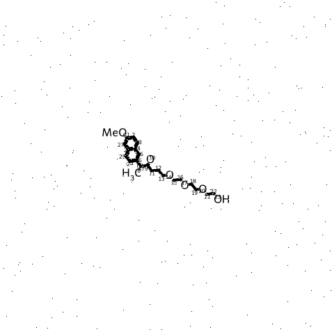 COc1ccc2cc([C@H](C)C(=O)CCCOCCOCCOCCO)ccc2c1